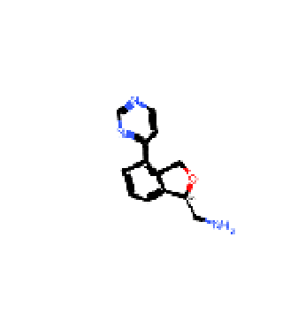 NC[C@@H]1OCc2c(-c3ccncn3)cccc21